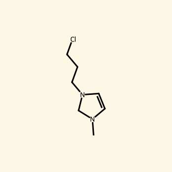 CN1C=CN(CCCCl)C1